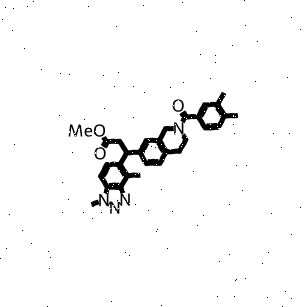 COC(=O)CC(c1ccc2c(c1)CN(C(=O)c1ccc(C)c(C)c1)CC2)c1ccc2c(nnn2C)c1C